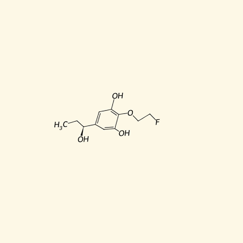 CC[C@H](O)c1cc(O)c(OCCF)c(O)c1